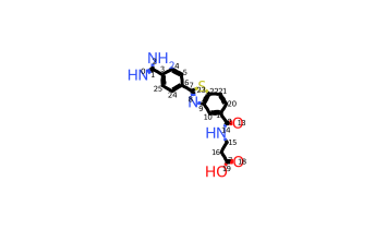 N=C(N)c1ccc(-c2nc3cc(C(=O)NCCC(=O)O)ccc3s2)cc1